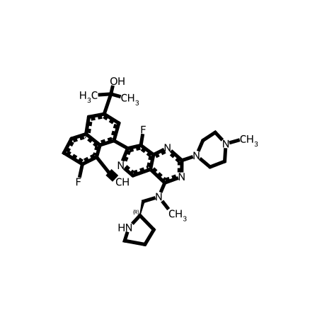 C#Cc1c(F)ccc2cc(C(C)(C)O)cc(-c3ncc4c(N(C)C[C@H]5CCCN5)nc(N5CCN(C)CC5)nc4c3F)c12